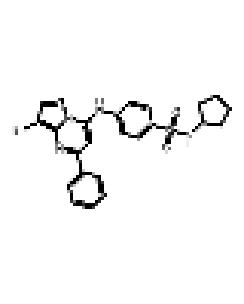 O=S(=O)(NC1CCCC1)c1ccc(Nc2cc(-c3ccccc3)nc3c(Br)cnn23)cc1